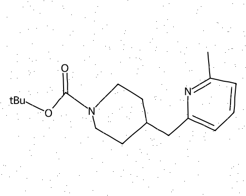 Cc1cccc(CC2CCN(C(=O)OC(C)(C)C)CC2)n1